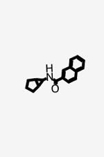 O=C(NC1C2CCCC21)c1ccc2ccccc2c1